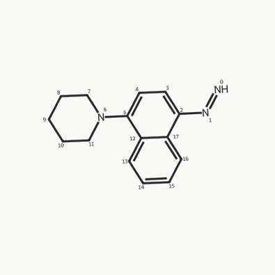 N=Nc1ccc(N2CCCCC2)c2ccccc12